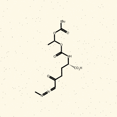 CN=[N+]=CC(=O)CC[C@H](NC(=O)OC(C)OC(=O)C(C)(C)C)C(=O)O